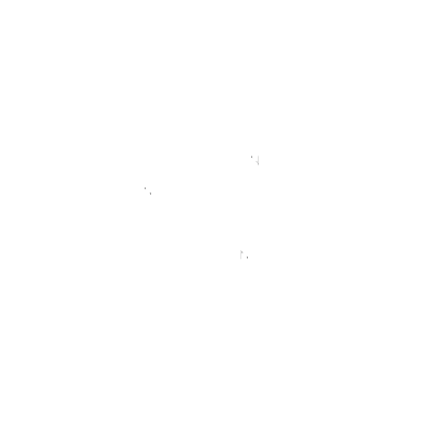 CN(C)C.CN(C)c1ccncc1